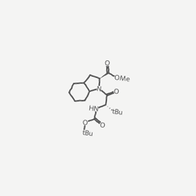 COC(=O)[C@@H]1CC2CCCCC2N1C(=O)[C@@H](NC(=O)OC(C)(C)C)C(C)(C)C